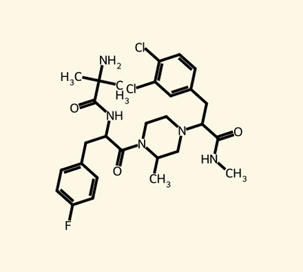 CNC(=O)C(Cc1ccc(Cl)c(Cl)c1)N1CCN(C(=O)C(Cc2ccc(F)cc2)NC(=O)C(C)(C)N)C(C)C1